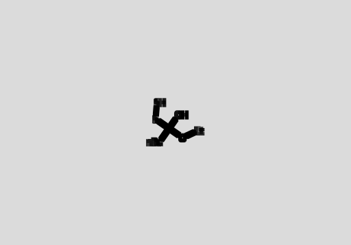 CCCCC(O)(OCC)SS